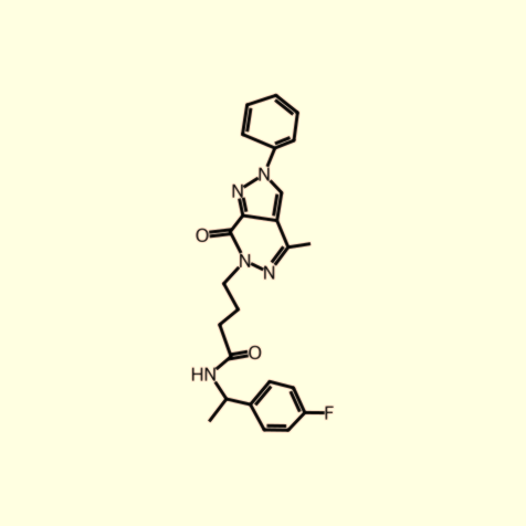 Cc1nn(CCCC(=O)NC(C)c2ccc(F)cc2)c(=O)c2nn(-c3ccccc3)cc12